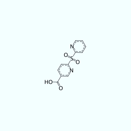 O=C(O)c1ccc(S(=O)(=O)c2ccccn2)nc1